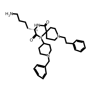 NCCCC[C@@H]1NC(=O)C2(CCN(CCc3ccccc3)CC2)N(C2CCN(Cc3ccccc3)CC2)C1=O